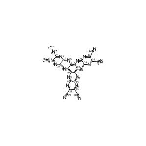 [C-]#[N+]c1nc2nc3c4nc5nc(C#N)c(C#N)nc5nc4c4nc5nc(C#N)c(C#N)nc5nc4c3nc2nc1[N+]#[C-]